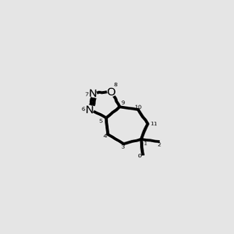 CC1(C)CCC2N=NOC2CC1